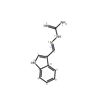 N=C(N)N/N=C/c1c[nH]c2ccccc12